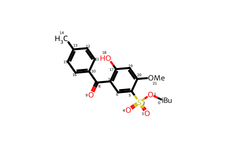 CCC(C)OS(=O)(=O)c1cc(C(=O)c2ccc(C)cc2)c(O)cc1OC